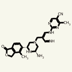 Cc1nc(N/C=C(\C=N)CN2C[C@@H](c3ccc4c(c3C)COC4=O)N[C@@H](N)C2)ncc1C#N